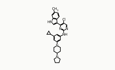 Cc1ccc2c(-c3nc(Nc4cc(C5CC5)cc(N5CCC(N6CCCC6)CC5)c4)ncc3Cl)c[nH]c2c1